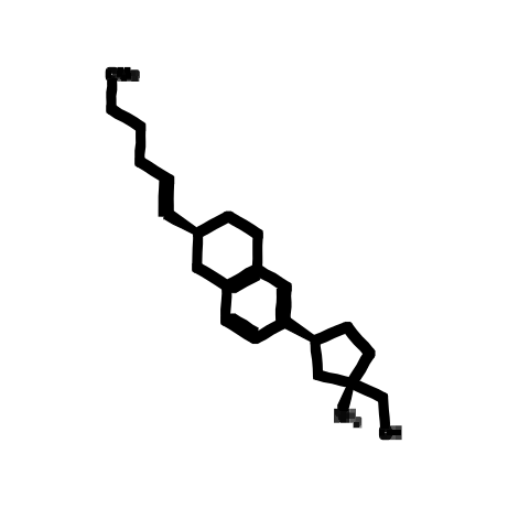 COCCC/C=C/[C@H]1CCc2cc([C@H]3CC[C@](N)(CO)C3)ccc2C1